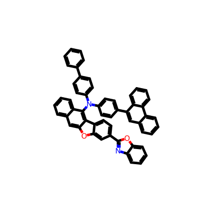 c1ccc(-c2ccc(N(c3ccc(-c4cc5ccccc5c5ccccc45)cc3)c3c4ccccc4cc4oc5cc(-c6nc7ccccc7o6)ccc5c34)cc2)cc1